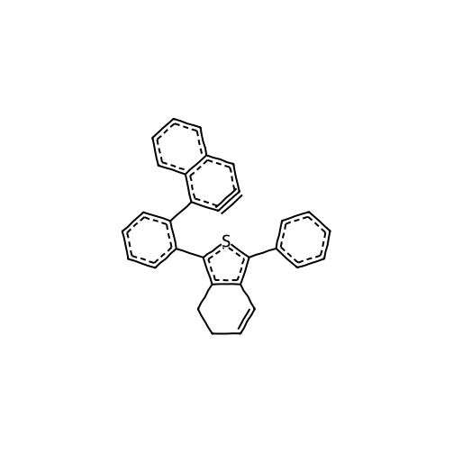 c1cc2ccccc2c(-c2ccccc2-c2sc(-c3ccccc3)c3c2CCC=C3)c#1